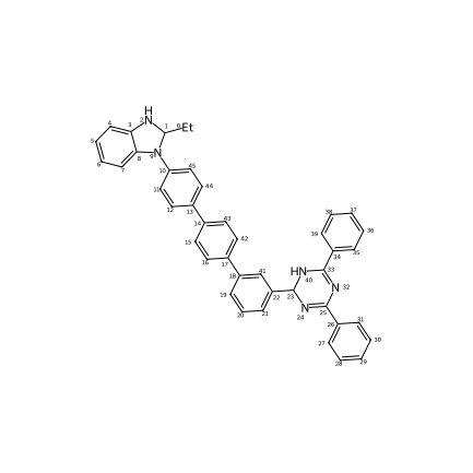 CCC1Nc2ccccc2N1c1ccc(-c2ccc(-c3cccc(C4N=C(c5ccccc5)N=C(c5ccccc5)N4)c3)cc2)cc1